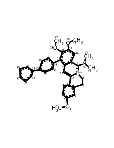 COc1ccc2c(c1)CC[PH]1=C(N(C)C)c3cc(OC)c(OC)c(-c4ccc(-c5ccccc5)cc4)c3C=C21